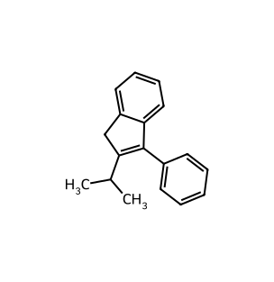 CC(C)C1=C(c2ccccc2)c2ccccc2C1